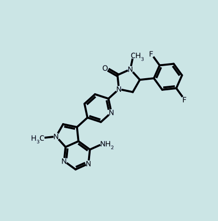 CN1C(=O)N(c2ccc(-c3cn(C)c4ncnc(N)c34)cn2)CC1c1cc(F)ccc1F